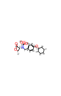 C[C@@H]1OC(=O)[C@@H]1N(Cc1ccc(OC2CCCCC2)cc1)C(=O)O